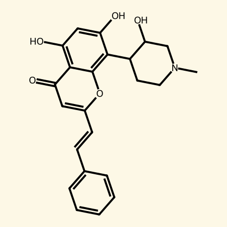 CN1CCC(c2c(O)cc(O)c3c(=O)cc(/C=C/c4ccccc4)oc23)C(O)C1